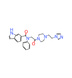 O=C(CN(C(=O)c1ccc2cc[nH]c2c1)c1ccccc1)N1CCN(CCn2ccnc2)CC1